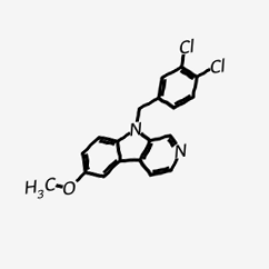 COc1ccc2c(c1)c1ccncc1n2Cc1ccc(Cl)c(Cl)c1